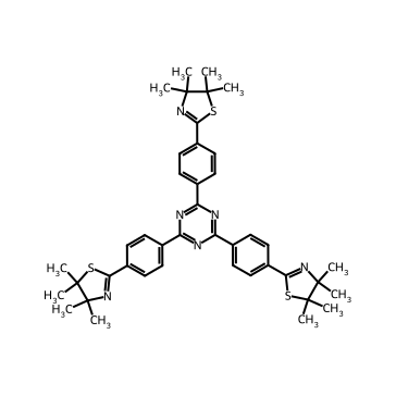 CC1(C)N=C(c2ccc(-c3nc(-c4ccc(C5=NC(C)(C)C(C)(C)S5)cc4)nc(-c4ccc(C5=NC(C)(C)C(C)(C)S5)cc4)n3)cc2)SC1(C)C